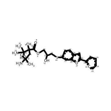 CC(C)(N)CC(C)(C(=O)OCC(O)CSc1ccc2cc(-c3ccccc3)oc2c1)C(C)(C)N